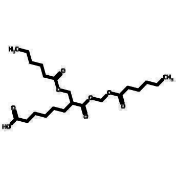 CCCCCC(=O)OCOC(=O)C(CCCCCC(=O)O)COC(=O)CCCCC